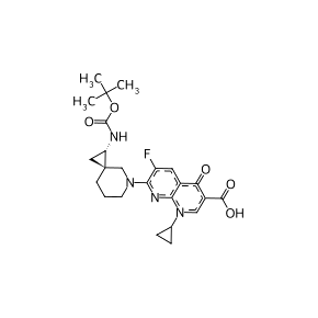 CC(C)(C)OC(=O)N[C@H]1C[C@@]12CCCN(c1nc3c(cc1F)c(=O)c(C(=O)O)cn3C1CC1)C2